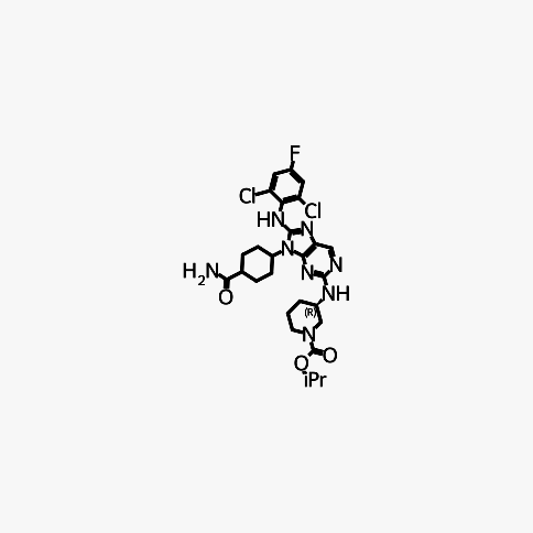 CC(C)OC(=O)N1CCC[C@@H](Nc2ncc3nc(Nc4c(Cl)cc(F)cc4Cl)n(C4CCC(C(N)=O)CC4)c3n2)C1